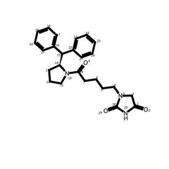 O=C1CN(CCCCC(=O)N2CCC[C@H]2C(c2ccccc2)c2ccccc2)C(=O)N1